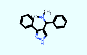 CN(C)C(c1ccccc1)c1c[nH]nc1-c1ccccc1